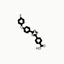 O=C(O)c1ccc(-c2nc(-c3ccc(Oc4ccc(F)cc4)cc3)no2)cc1